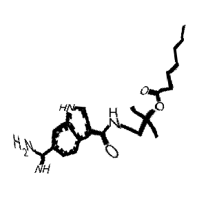 CCCCCCC(=O)OC(C)(C)CNC(=O)c1c[nH]c2cc(C(=N)N)ccc12